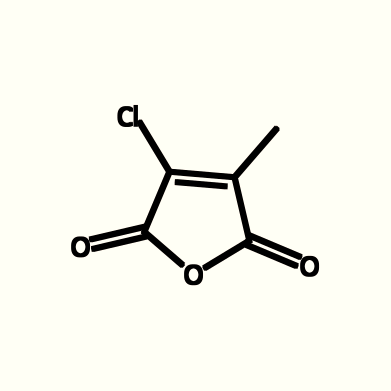 CC1=C(Cl)C(=O)OC1=O